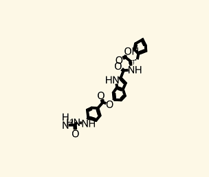 NC(=O)NNc1ccc(C(=O)Oc2ccc3cc(C(=O)N[C@@H](Cc4ccccc4)C(=O)O)[nH]c3c2)cc1